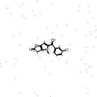 Cn1c(C(=O)c2cccc(Cl)c2)cc2c1CC(=O)O2